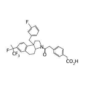 CC(F)(c1ccc2c(c1)CCC1N(C(=O)Cc3ccc(CC(=O)O)cc3)CCC21Cc1cccc(F)c1)C(F)(F)F